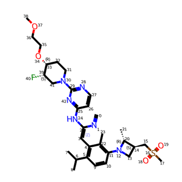 C=N/C(=C\c1c(C(C)C)ccc(N2C[C@H](CS(C)(=O)=O)[C@H]2C)c1C)Nc1ccnc(N2CC[C@@H](OCCOC)[C@@H](F)C2)n1